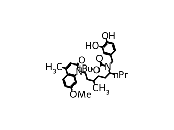 CCCC(CCC(C)CCn1c(=O)cc(C)c2ccc(OC)cc21)N(Cc1ccc(O)c(O)c1)C(=O)OC(C)(C)C